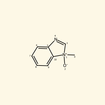 C[N+]1([O-])C=Nc2c[c]ccc21